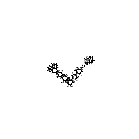 N=C=O.N=C=O.N=C=O.OP(O)(O)=S.c1ccccc1.c1ccccc1.c1ccccc1.c1ccccc1.c1ccccc1.c1ccccc1